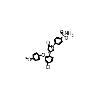 COc1ccc(Oc2cc(Cl)ccc2[C@H]2CC(=O)N(c3ccc(S(N)(=O)=O)cc3)C2)cc1